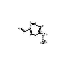 C=[C]c1cccc(OCCC)c1